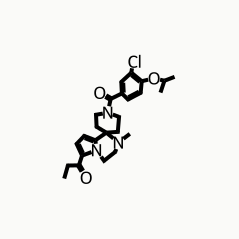 CCC(=O)c1ccc2n1CCN(C)C21CCN(C(=O)c2ccc(OC(C)C)c(Cl)c2)CC1